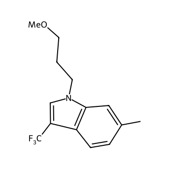 COCCCn1cc(C(F)(F)F)c2ccc(C)cc21